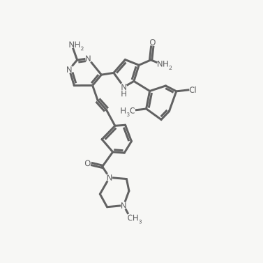 Cc1ccc(Cl)cc1-c1[nH]c(-c2nc(N)ncc2C#Cc2cccc(C(=O)N3CCN(C)CC3)c2)cc1C(N)=O